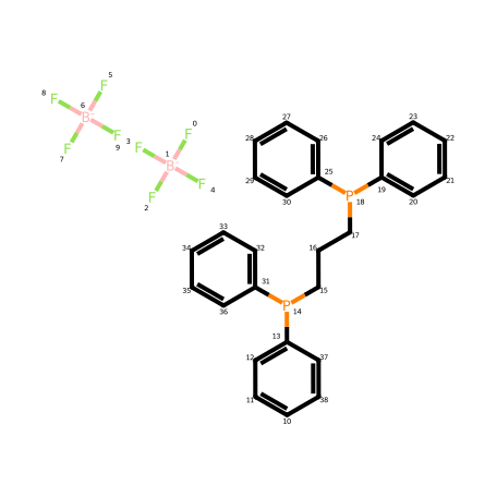 F[B-](F)(F)F.F[B-](F)(F)F.c1ccc(P(CCCP(c2ccccc2)c2ccccc2)c2ccccc2)cc1